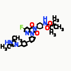 C[C@@H]1CN(Cc2ccc(-c3cccc(-n4c(=O)n([C@H]5CC[C@@H](NC(=O)OC(C)(C)C)CC5)c(=O)c5cc(F)cnc54)c3)cc2)C[C@H](C)N1